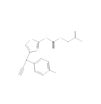 C#C[C@](C)(c1ccc(Cl)cc1)c1csc(NC(=O)NCC(C)O)n1